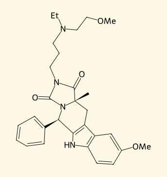 CCN(CCCN1C(=O)N2[C@H](c3ccccc3)c3[nH]c4ccc(OC)cc4c3C[C@@]2(C)C1=O)CCOC